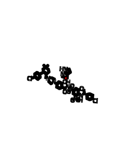 CC1(C)CCC(CN2CCN(c3ccc(C(=O)NS(=O)(=O)c4cc5c(c([N+](=O)[O-])c4)N[C@@H](c4ccc(Cl)cc4)CO5)c(Oc4cnc5[nH]ccc5c4)c3)CC2)=C(c2ccc(Cl)cc2)C1